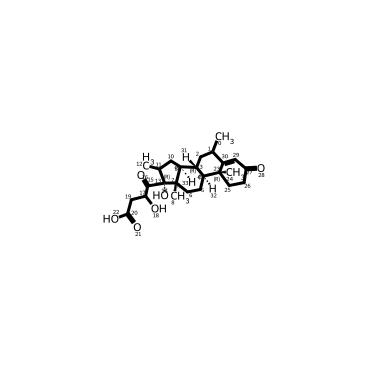 CC1C[C@@H]2[C@H](CC[C@@]3(C)[C@H]2CC(C)[C@]3(O)C(=O)C(O)CC(=O)O)[C@@]2(C)CCC(=O)C=C12